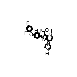 NC(=O)c1c2c(nn1-c1ccc(Oc3ccc(F)cc3F)cc1)[C@H](N1CCNCC1)CCN2